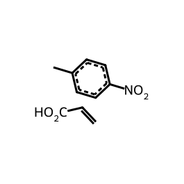 C=CC(=O)O.Cc1ccc([N+](=O)[O-])cc1